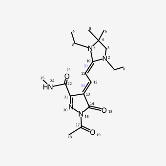 CCN1CC(C)(C)N(CC)/C1=C/C=C1/C(=O)N(C(C)=O)N=C1C(=O)NC